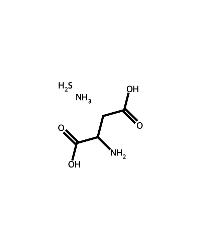 N.NC(CC(=O)O)C(=O)O.S